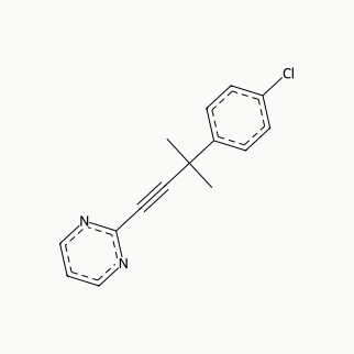 CC(C)(C#Cc1ncccn1)c1ccc(Cl)cc1